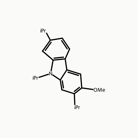 COc1cc2c3ccc(C(C)C)cc3n(C(C)C)c2cc1C(C)C